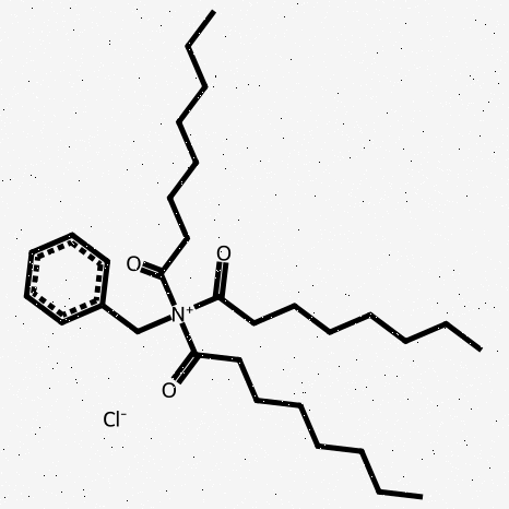 CCCCCCCC(=O)[N+](Cc1ccccc1)(C(=O)CCCCCCC)C(=O)CCCCCCC.[Cl-]